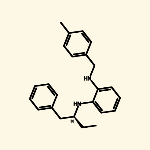 CC[C@@H](Cc1ccccc1)Nc1ccccc1NCc1ccc(C)cc1